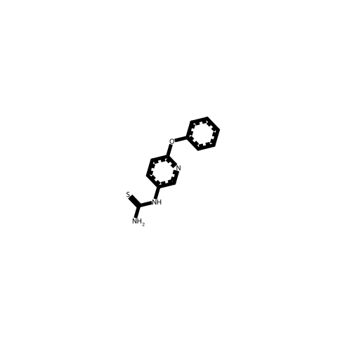 NC(=S)Nc1ccc(Oc2ccccc2)nc1